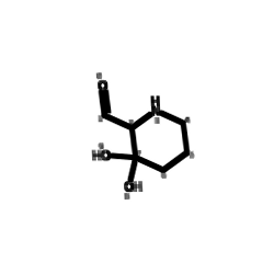 O=CC1NCCCC1(O)O